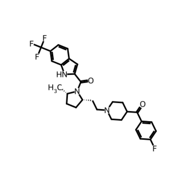 C[C@H]1CC[C@@H](CCN2CCC(C(=O)c3ccc(F)cc3)CC2)N1C(=O)c1cc2ccc(C(F)(F)F)cc2[nH]1